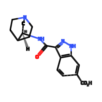 O=C(O)c1ccc2c(C(=O)N[C@@H]3CN4CCC3CC4)n[nH]c2c1